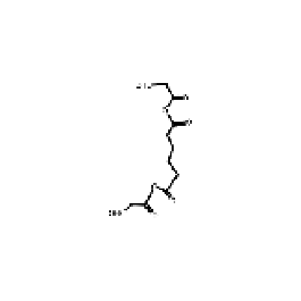 O=CCC(=O)OC(=O)CCCCC(=O)OC(=O)CC=O